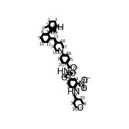 CC12CC[C@H](C=C1c1ccccc1C=C1CCN(c3ccc(C(=O)NS(=O)(=O)c4ccc(NCC5CCOCC5)c([N+](=O)[O-])c4)cc3)CC1)C2(C)C